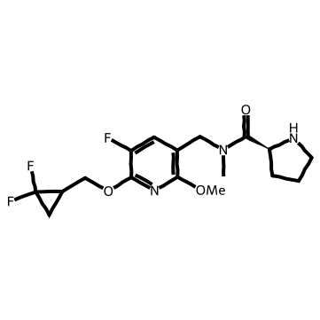 COc1nc(OCC2CC2(F)F)c(F)cc1CN(C)C(=O)[C@@H]1CCCN1